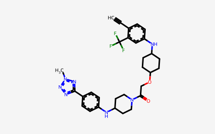 C#Cc1ccc(NC2CCC(OCC(=O)N3CCC(Nc4ccc(-c5nnn(C)n5)cc4)CC3)CC2)cc1C(F)(F)F